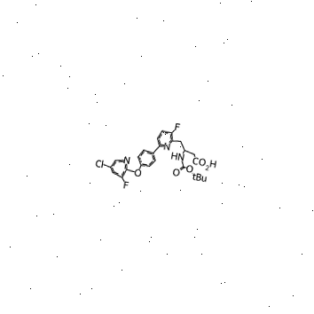 CC(C)(C)OC(=O)NC(CC(=O)O)Cc1nc(-c2ccc(Oc3ncc(Cl)cc3F)cc2)ccc1F